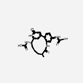 CC1CCC[C@H](NC(=O)O)c2cc(cc(=O)[nH]2)-c2ccc(NC(=O)O)cc2NC1=O